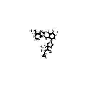 Cc1c(C(F)(F)F)ccc(N2CCC(N)(C(=O)NC3CC3)C2)c1Cn1cnc2c(N)ncnc21